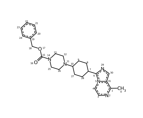 Cc1nccn2c(C3CCC(N4CCN(C(=O)OCc5ccccc5)CC4)CC3)ncc12